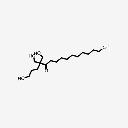 CCCCCCCCCCCC(=O)C(CO)(CO)CCCO